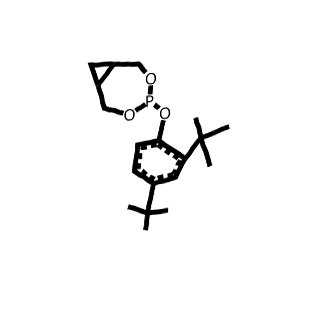 CC(C)(C)c1ccc(OP2OCC3CC3CO2)c(C(C)(C)C)c1